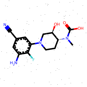 CN(C(=O)O)[C@@H]1CCN(c2cc(C#N)cc(N)c2F)C[C@H]1O